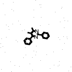 Cc1nc(-c2ccccc2)nc(-c2ccccc2)c1C